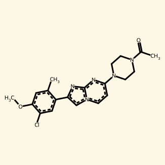 COc1cc(C)c(-c2cn3ccc(N4CCN(C(C)=O)CC4)nc3n2)cc1Cl